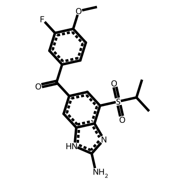 COc1ccc(C(=O)c2cc(S(=O)(=O)C(C)C)c3nc(N)[nH]c3c2)cc1F